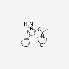 CC(Oc1cc(-c2ccccc2)nn1N)N1CCOCC1